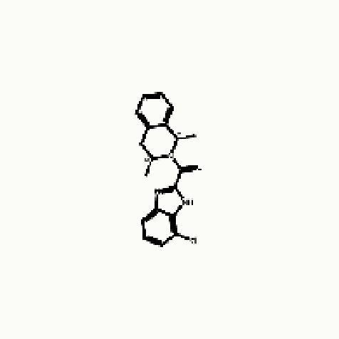 C[C@@H]1c2ccccc2C[C@H](C)N1C(=O)c1nc2cccc(Cl)c2[nH]1